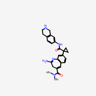 CCCN(CCC)C(=O)C1=Cc2ccc(C3(C(=O)Nc4ccc5c(c4)CNCC5)CC3)cc2N=C(N)C1